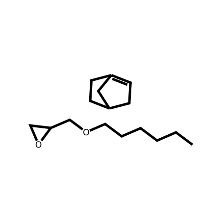 C1=C2CCC(C1)C2.CCCCCCOCC1CO1